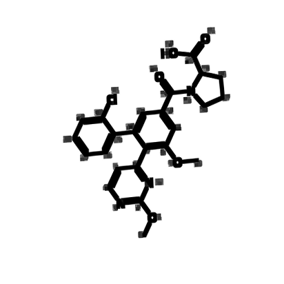 COc1nccc(-c2c(OC)cc(C(=O)N3CCCC3C(=O)O)cc2-c2ccccc2Cl)n1